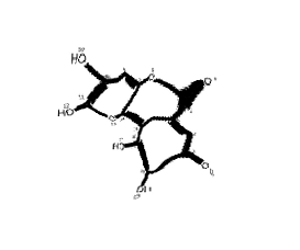 O=c1cc2c(=O)oc3cc(O)c(O)oc3c2c(O)c1O